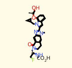 C[C@@H](CO)Oc1cccc2cc(-c3nc4cc5c(cc4n3C)CCN(C[C@@H](CF)NC(=O)O)C5=O)n(CC3CC3)c12